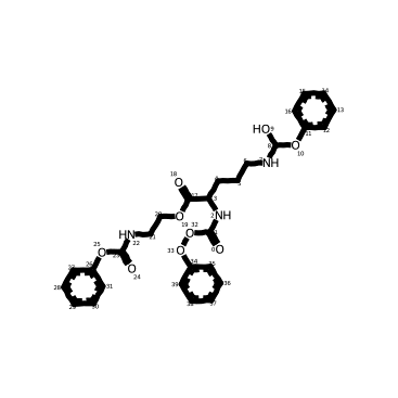 O=C(NC(CCCNC(O)Oc1ccccc1)C(=O)OCCNC(=O)Oc1ccccc1)OOc1ccccc1